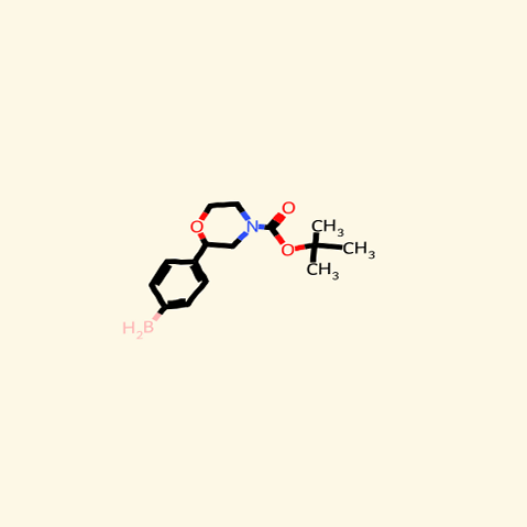 Bc1ccc(C2CN(C(=O)OC(C)(C)C)CCO2)cc1